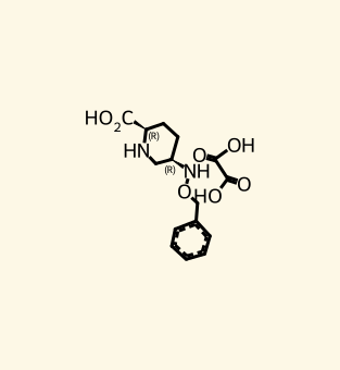 O=C(O)C(=O)O.O=C(O)[C@H]1CC[C@@H](NOCc2ccccc2)CN1